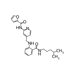 CC(C)CCCNC(=O)c1ccccc1NCc1ccnc(NC(=O)c2ccco2)c1